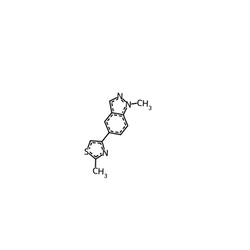 Cc1nc(-c2ccc3c(cnn3C)c2)cs1